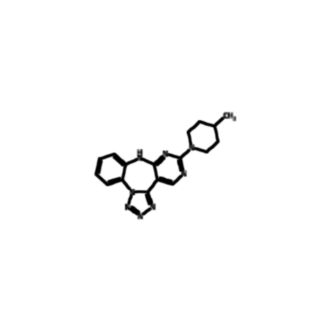 CC1CCN(c2ncc3c(n2)Nc2ccccc2-n2nnnc2-3)CC1